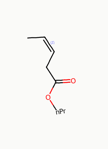 C/C=C\CC(=O)OCCC